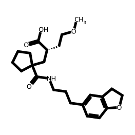 COCC[C@H](CC1(C(=O)NCCCc2ccc3c(c2)CCO3)CCCC1)C(=O)O